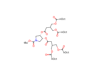 CCCCCCCCC(=O)OCC(COC(=O)CCCCCCCC)CC(=O)O[C@H]1CN(C(=O)OC(C)(C)C)C[C@H]1OC(=O)CC(COC(=O)CCCCCCCC)COC(=O)CCCCCCCC